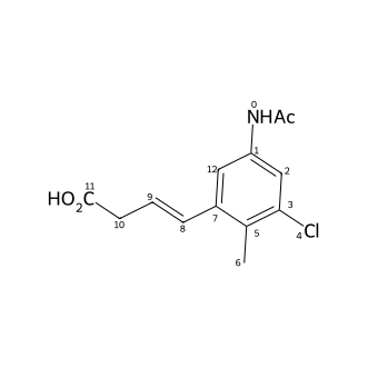 CC(=O)Nc1cc(Cl)c(C)c(C=CCC(=O)O)c1